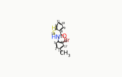 Cc1ccc(NC(=O)c2ccccc2S)c(Br)c1